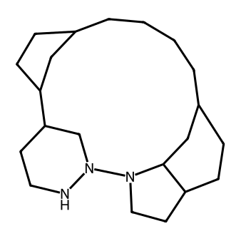 C1CCC2CCC3CCN(C3C2)N2CC(CCN2)C2CCC(C1)C2